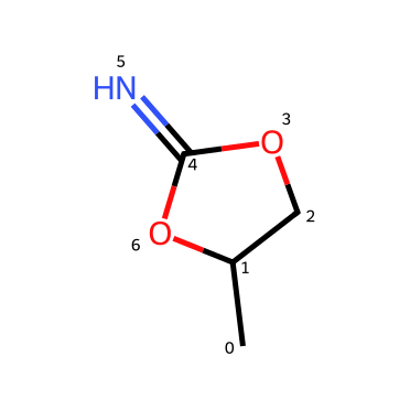 CC1COC(=N)O1